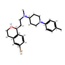 Cc1ccc(N2CCC(N(C)CC[C@@H]3OCCc4cc(Br)ccc43)CC2)cc1